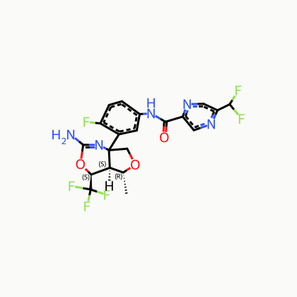 C[C@H]1OCC2(c3cc(NC(=O)c4cnc(C(F)F)cn4)ccc3F)N=C(N)O[C@H](C(F)(F)F)[C@H]12